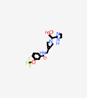 O=C(NCC1C2CN(C(CO)c3ncc[nH]3)CC12)c1cccc(OC(F)(F)F)c1